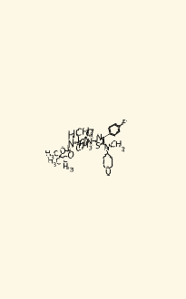 CN(c1sc(NC(=O)C(C)(C)NC(=O)OC(C)(C)C)nc1-c1ccc(F)cc1)C1CCOCC1